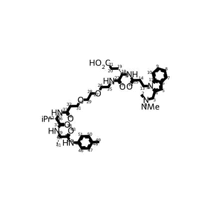 CNN(C)Cc1cc2ccccc2n1CCC(=O)N[C@@H](CCC(=O)O)C(=O)NCCOCCOCCC(=O)N[C@H](C(=O)N[C@@H](C)C(=O)Nc1ccc(C)cc1)C(C)C